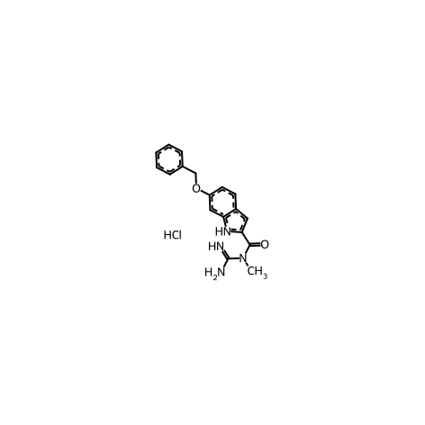 CN(C(=N)N)C(=O)c1cc2ccc(OCc3ccccc3)cc2[nH]1.Cl